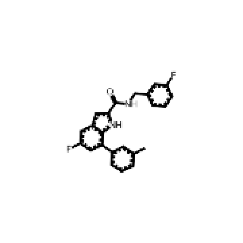 Cc1cccc(-c2cc(F)cc3cc(C(=O)NCc4cccc(F)c4)[nH]c23)c1